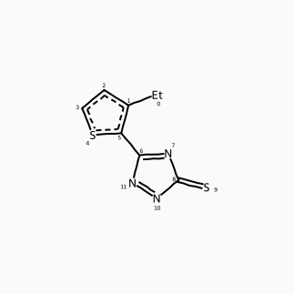 CCc1ccsc1C1=NC(=S)N=N1